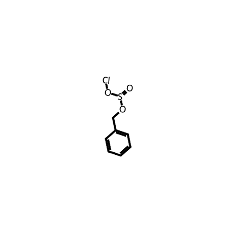 O=S(OCl)OCc1ccccc1